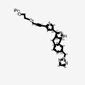 CC(C)OCCOCC#Cc1cc(-c2n[nH]c3c2Cc2ccc(Cn4nccn4)cc2-3)cs1